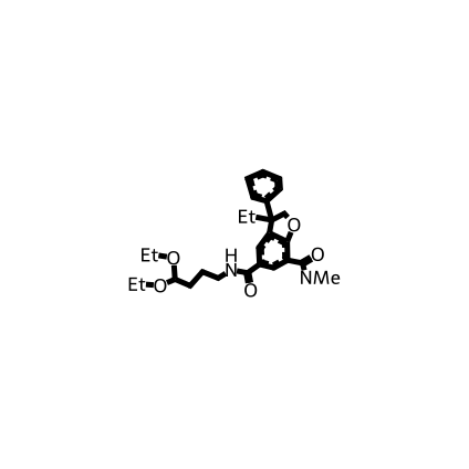 CCOC(CCCNC(=O)c1cc(C(=O)NC)c2c(c1)C(CC)(c1ccccc1)CO2)OCC